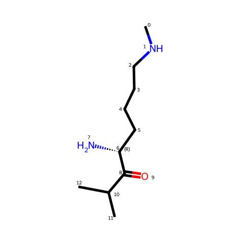 CNCCCC[C@@H](N)C(=O)C(C)C